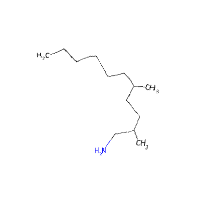 CCCCCCC(C)CCC(C)CN